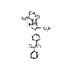 C[C@@H](O)[C@H]1C(=O)N2C(C(=O)O)=C(c3ccc(NC(=O)c4ccccn4)cc3)C[C@H]12